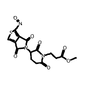 COC(=O)CCN1C(=O)CCC(N2C(=O)c3csc(N=O)c3C2=O)C1=O